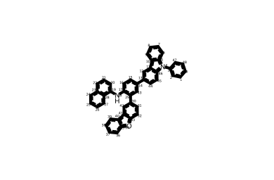 c1ccc(-n2c3ccccc3c3cc(-c4ccc(Nc5cccc6ccccc56)c(-c5ccc6oc7ccccc7c6c5)c4)ccc32)cc1